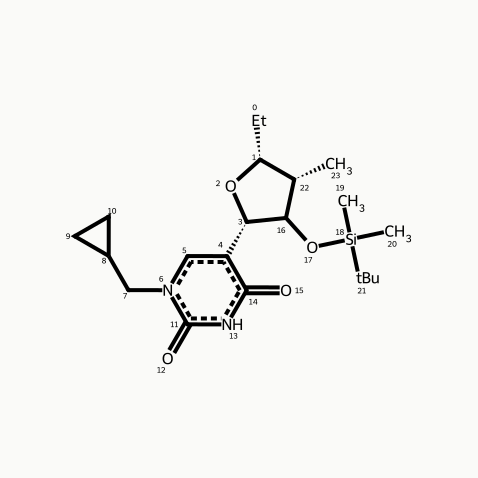 CC[C@H]1O[C@@H](c2cn(CC3CC3)c(=O)[nH]c2=O)C(O[Si](C)(C)C(C)(C)C)[C@H]1C